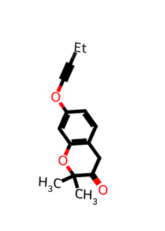 CCC#COc1ccc2c(c1)OC(C)(C)C(=O)C2